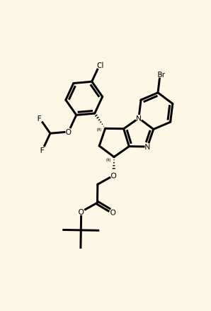 CC(C)(C)OC(=O)CO[C@@H]1C[C@H](c2cc(Cl)ccc2OC(F)F)c2c1nc1ccc(Br)cn21